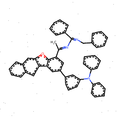 C/C(=N\C(=N/Cc1ccccc1)c1ccccc1)c1cc(-c2cccc(N(c3ccccc3)c3ccccc3)c2)cc2c1oc1cc3ccccc3cc12